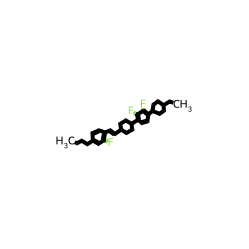 CCCCc1ccc(/C=C/C2CCC(c3ccc(C4CCC(CC)CC4)c(F)c3F)CC2)c(F)c1